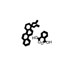 C=CCC1(CC=C)CCCc2c1ccc1c2ccc2ccccc21.O=C(O)c1ccccc1C(=O)O